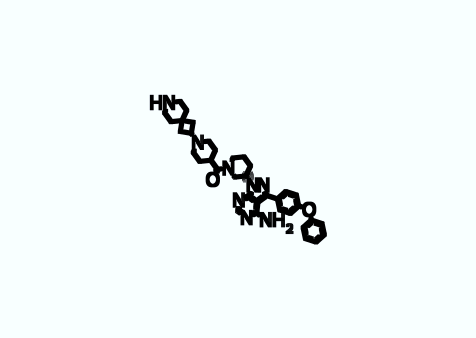 Nc1ncnc2c1c(-c1ccc(Oc3ccccc3)cc1)nn2[C@@H]1CCCN(C(=O)C2CCN(C3CC4(CCNCC4)C3)CC2)C1